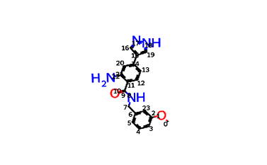 COc1cccc(CNC(=O)c2ccc(-c3cn[nH]c3)cc2N)c1